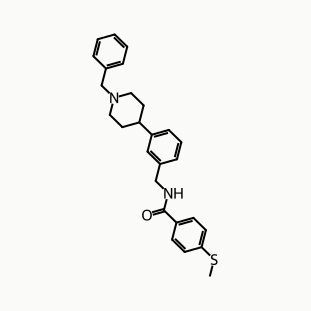 CSc1ccc(C(=O)NCc2cccc(C3CCN(Cc4ccccc4)CC3)c2)cc1